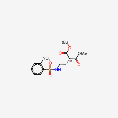 COC(=O)[C@H](CCNS(=O)(=O)c1ccccc1[N+](=O)[O-])C(=O)OC(C)(C)C